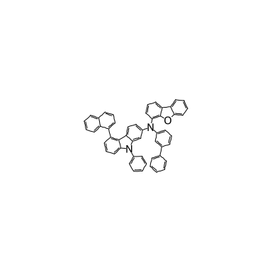 c1ccc(-c2cccc(N(c3ccc4c5c(-c6cccc7ccccc67)cccc5n(-c5ccccc5)c4c3)c3cccc4c3oc3ccccc34)c2)cc1